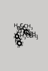 CC(C)C(C(=O)OCc1ccc(F)c(Cc2ccccc2)c1)c1cnc(C(C)(C)C)nc1